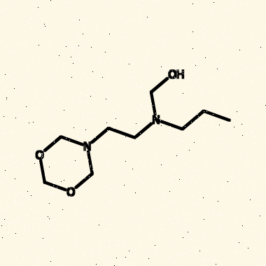 CCCN(CO)CCN1COCOC1